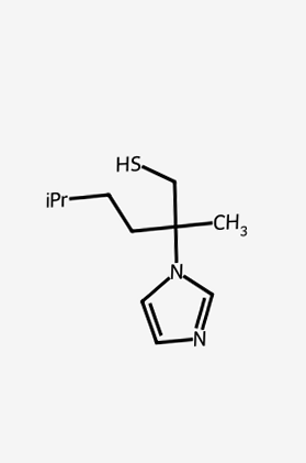 CC(C)CCC(C)(CS)n1ccnc1